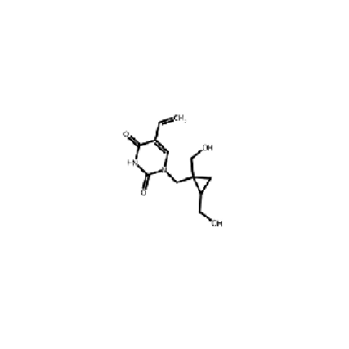 C=Cc1cn(CC2(CO)CC2CO)c(=O)[nH]c1=O